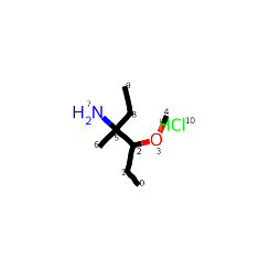 CCC(OC)C(C)(N)CC.Cl